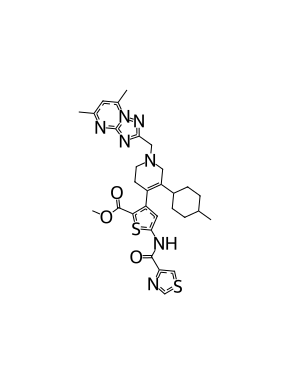 COC(=O)c1sc(NC(=O)c2cscn2)cc1C1=C(C2CCC(C)CC2)CN(Cc2nc3nc(C)cc(C)n3n2)CC1